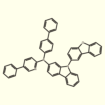 c1ccc(-c2ccc(N(c3ccc4c5ccccc5n(-c5ccc6oc7ccccc7c6c5)c4c3)c3ccc(-c4ccccc4)cn3)cc2)cc1